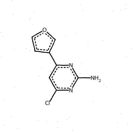 Nc1nc(Cl)cc(-c2ccoc2)n1